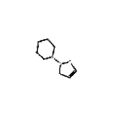 C1=CON(N2CCCCC2)C1